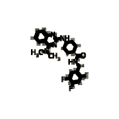 CN(C)c1nc(N[C@H]2CC[C@@H](C(=O)NCc3cc(F)c(F)cc3F)CC2)nc2ccccc12